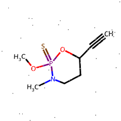 C#CC1CCN(C)P(=S)(OC)O1